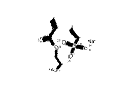 C=CC(=O)OCCO.C=CS(=O)(=O)[O-].[Na+]